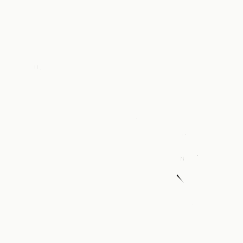 CC(C)COC(=O)CCCc1cc(S(=O)(=O)N(C)C[C@H]2CO2)sc1Cl